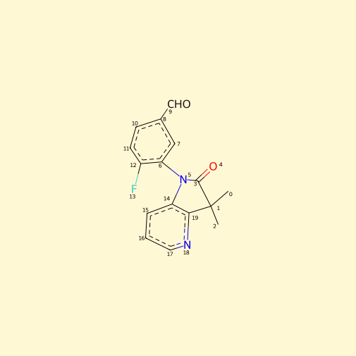 CC1(C)C(=O)N(c2cc(C=O)ccc2F)c2cccnc21